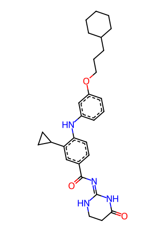 O=C1CCN/C(=N\C(=O)c2ccc(Nc3cccc(OCCCC4CCCCC4)c3)c(C3CC3)c2)N1